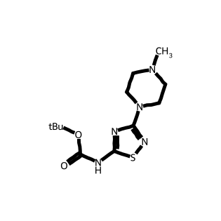 CN1CCN(c2nsc(NC(=O)OC(C)(C)C)n2)CC1